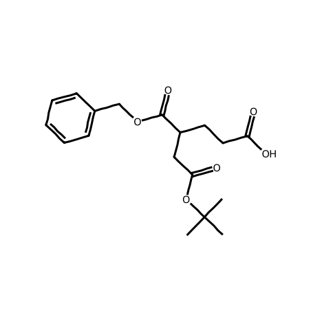 CC(C)(C)OC(=O)CC(CCC(=O)O)C(=O)OCc1ccccc1